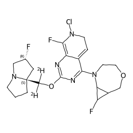 [2H]C([2H])(Oc1nc(N2CCOCC3C(F)C32)c2c(n1)=C(F)N(Cl)CC=2)[C@@]12CCCN1C[C@H](F)C2